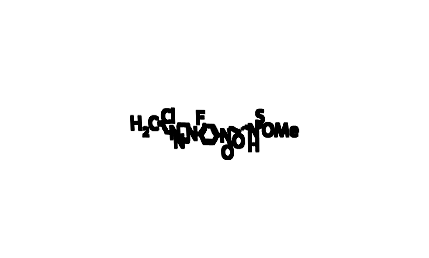 C=C(Cl)CN1CCN(c2ccc(N3C[C@H](CNC(=S)OC)OC3=O)cc2F)C=N1